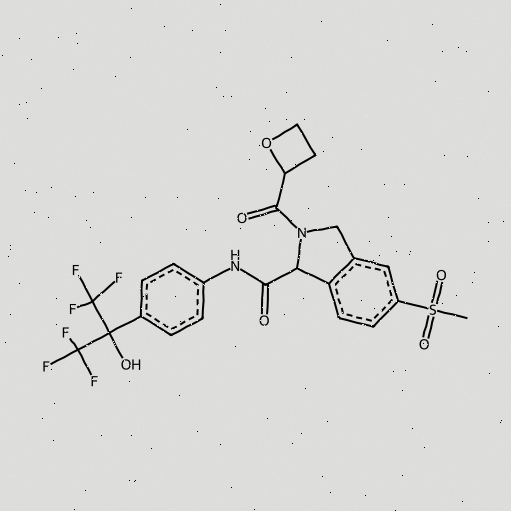 CS(=O)(=O)c1ccc2c(c1)CN(C(=O)C1CCO1)C2C(=O)Nc1ccc(C(O)(C(F)(F)F)C(F)(F)F)cc1